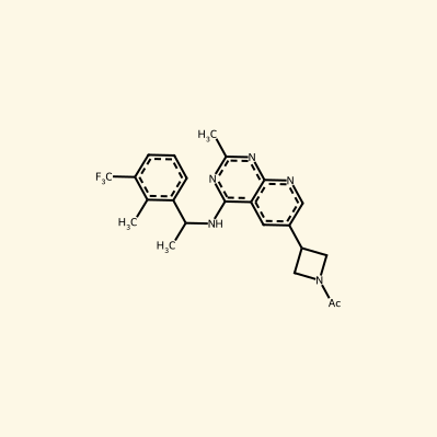 CC(=O)N1CC(c2cnc3nc(C)nc(NC(C)c4cccc(C(F)(F)F)c4C)c3c2)C1